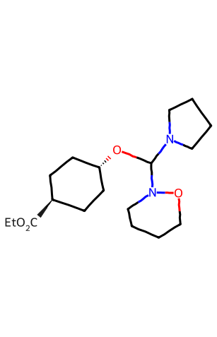 CCOC(=O)[C@H]1CC[C@H](OC(N2CCCC2)N2CCCCO2)CC1